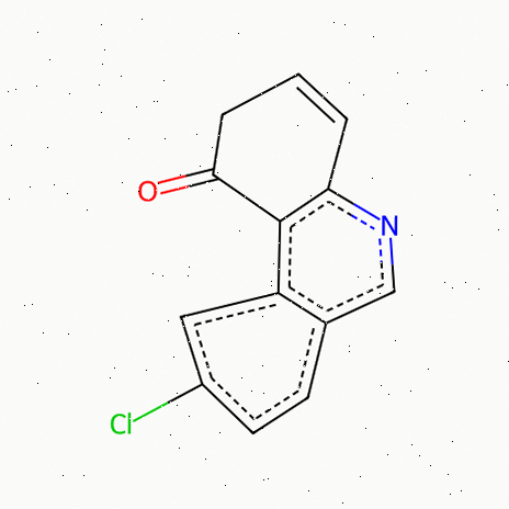 O=C1CC=Cc2ncc3ccc(Cl)cc3c21